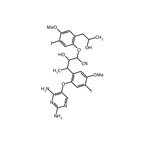 COc1cc(CC(C)O)c(OC(C#N)C(O)C(C)c2cc(OC)c(I)cc2Oc2cnc(N)nc2N)cc1I